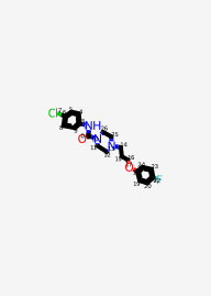 O=C(Nc1ccc(Cl)cc1)N1CCN(CCCOc2ccc(F)cc2)CC1